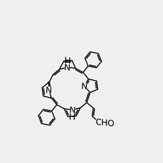 O=CC=Cc1c2nc(c(-c3ccccc3)c3ccc(cc4nc(c(-c5ccccc5)c5ccc1[nH]5)C=C4)[nH]3)C=C2